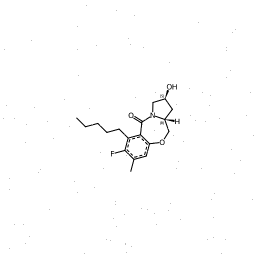 CCCCCc1c(F)c(C)cc2c1C(=O)N1C[C@@H](O)C[C@@H]1CO2